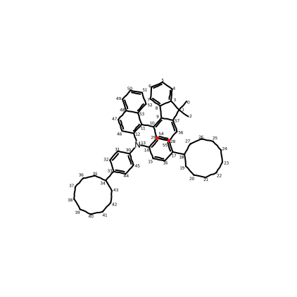 CC1(C)c2ccccc2-c2c(-c3c(N(c4ccc(C5CCCCCCCCC5)cc4)c4ccc(C5CCCCCCCCC5)cc4)ccc4ccccc34)cccc21